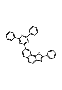 c1ccc(-c2nc(-c3ccccc3)nc(-c3ccc4ccc5nc(-c6ccccc6)oc5c4c3)n2)cc1